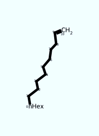 [CH2]CCCCCCCCCCCCC[C]=C